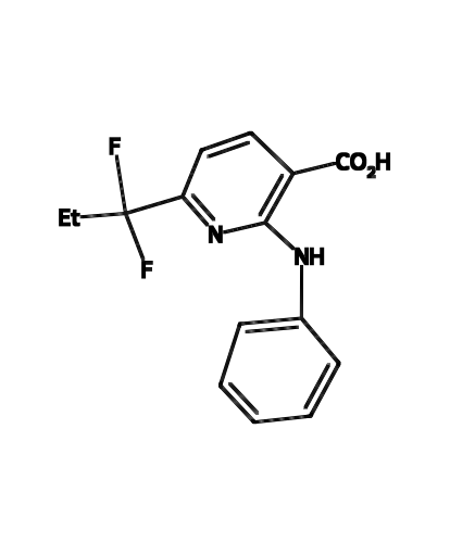 CCC(F)(F)c1ccc(C(=O)O)c(Nc2ccccc2)n1